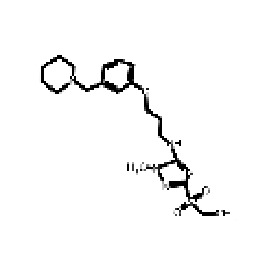 CCS(=O)(=O)c1nc(NCCCOc2cccc(CN3CCCCC3)c2)n(C)n1